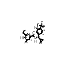 CCc1nc(C(=O)N[C@@H](c2ccc(C(F)(F)F)c(F)c2)C2CC2)cc(=O)[nH]1